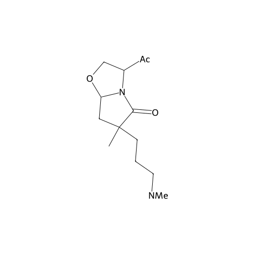 CNCCCC1(C)CC2OCC(C(C)=O)N2C1=O